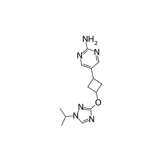 CC(C)n1cnc(OC2CC(c3cnc(N)nc3)C2)n1